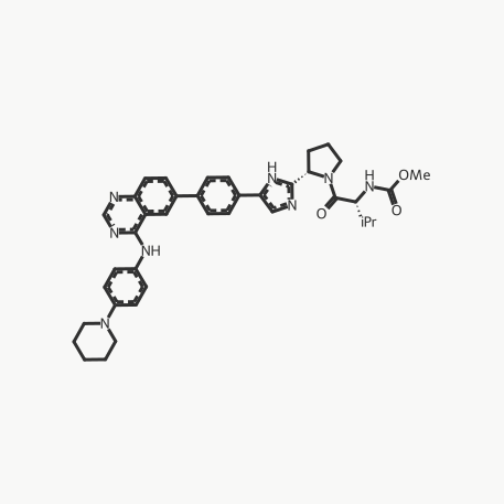 COC(=O)N[C@@H](C(=O)N1CCC[C@H]1c1ncc(-c2ccc(-c3ccc4ncnc(Nc5ccc(N6CCCCC6)cc5)c4c3)cc2)[nH]1)C(C)C